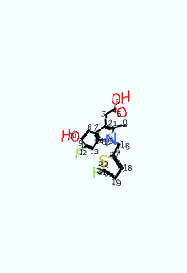 Cc1c(CC(=O)O)c2cc(O)c(F)cc2n1Cc1ccc(F)s1